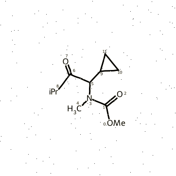 COC(=O)N(C)C(C(=O)C(C)C)C1CC1